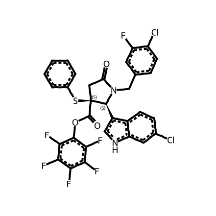 O=C1C[C@@](Sc2ccccc2)(C(=O)Oc2c(F)c(F)c(F)c(F)c2F)[C@H](c2c[nH]c3cc(Cl)ccc23)N1Cc1ccc(Cl)c(F)c1